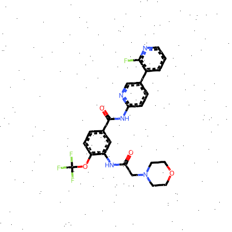 O=C(CN1CCOCC1)Nc1cc(C(=O)Nc2ccc(-c3cccnc3F)cn2)ccc1OC(F)(F)F